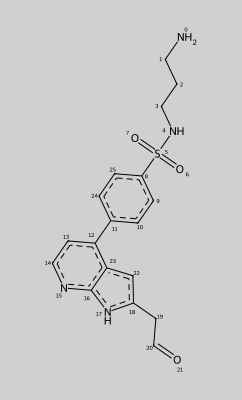 NCCCNS(=O)(=O)c1ccc(-c2ccnc3[nH]c(CC=O)cc23)cc1